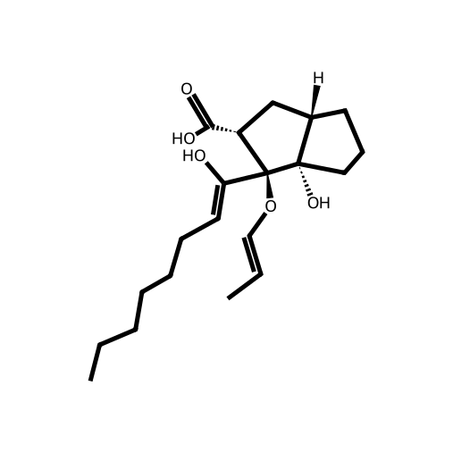 C/C=C/O[C@@]1(C(O)=CCCCCCC)[C@H](C(=O)O)C[C@@H]2CCC[C@]21O